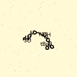 Cc1ccsc1C(=O)N1CCC(Sc2ccc(CCNC[C@H](O)COc3ccc(O[Si](c4ccccc4)(c4ccccc4)C(C)(C)C)cc3)cc2)CC1